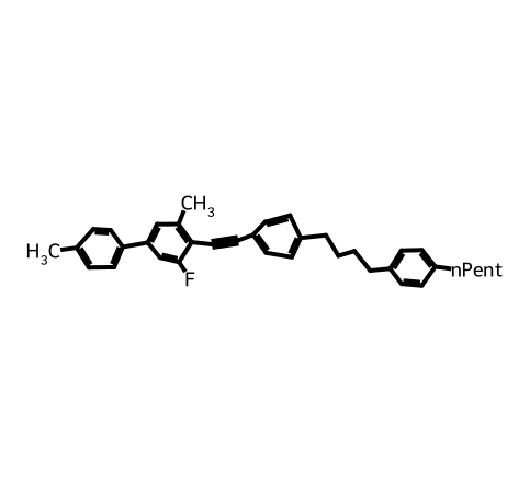 CCCCCc1ccc(CCCCc2ccc(C#Cc3c(C)cc(-c4ccc(C)cc4)cc3F)cc2)cc1